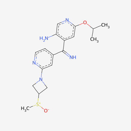 CC(C)Oc1cc(C(=N)c2ccnc(N3CC([S+](C)[O-])C3)c2)c(N)cn1